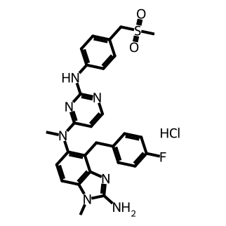 CN(c1ccnc(Nc2ccc(CS(C)(=O)=O)cc2)n1)c1ccc2c(nc(N)n2C)c1Cc1ccc(F)cc1.Cl